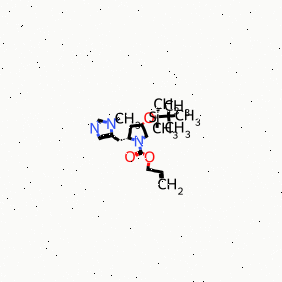 C=CCOC(=O)N1C[C@H](O[Si](C)(C)C(C)(C)C)C[C@H]1Cc1cncn1C